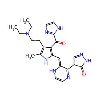 CCN(CC)CCc1c(C)[nH]c(C=C2NC=CN=C2C2C=NNC2=O)c1C(=O)c1ncc[nH]1